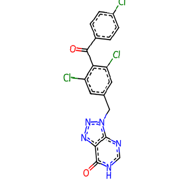 O=C(c1ccc(Cl)cc1)c1c(Cl)cc(Cn2nnc3c(=O)[nH]cnc32)cc1Cl